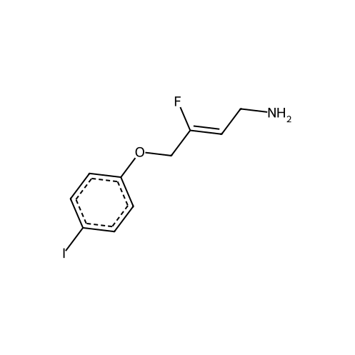 NCC=C(F)COc1ccc(I)cc1